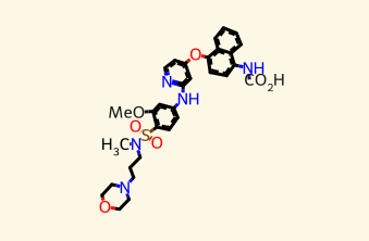 COc1cc(Nc2cc(Oc3ccc(NC(=O)O)c4ccccc34)ccn2)ccc1S(=O)(=O)N(C)CCCN1CCOCC1